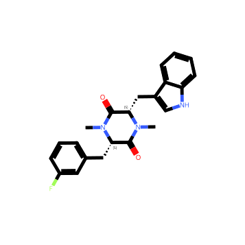 CN1C(=O)[C@H](Cc2c[nH]c3ccccc23)N(C)C(=O)[C@@H]1Cc1cccc(F)c1